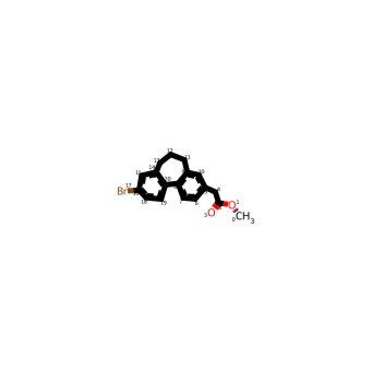 COC(=O)Cc1ccc2c(c1)CCCc1cc(Br)ccc1-2